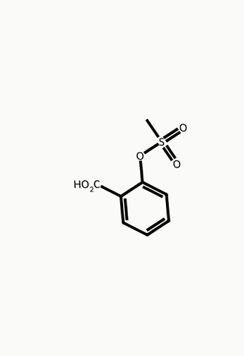 CS(=O)(=O)Oc1ccccc1C(=O)O